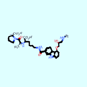 CC(C)NCC(O)COc1cccc2[nH]c3cc(C(=O)NCCCCC(N[C@@H](C)C(=O)N4CCC[C@H]4C(=O)O)C(=O)O)ccc3c12